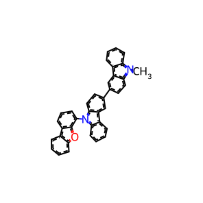 Cn1c2ccccc2c2cc(-c3ccc4c(c3)c3ccccc3n4-c3cccc4c3oc3ccccc34)ccc21